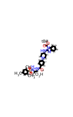 Cc1cc(C)c(S(=O)(=O)N[C@@H](CNC(=O)c2ccc(N3CCC(Nc4nc5ccccc5n4C(=O)OC(C)(C)C)CC3)cc2)C(=O)O)c(C)c1